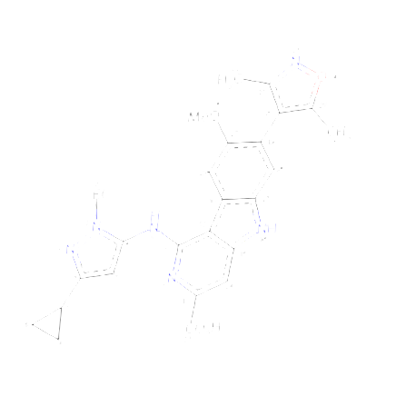 CCn1nc(C2CC2)cc1Nc1nc(C(=O)O)cc2[nH]c3cc(-c4c(C)noc4C)c(OC)cc3c12